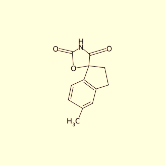 Cc1ccc2c(c1)CCC21OC(=O)NC1=O